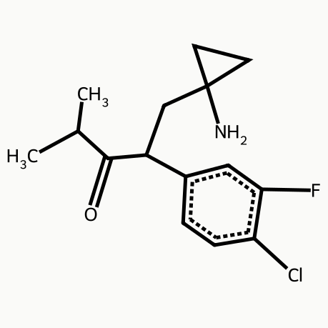 CC(C)C(=O)C(CC1(N)CC1)c1ccc(Cl)c(F)c1